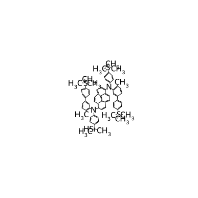 Cc1ccc(-c2ccc(S(C)(C)C)cc2)cc1N(c1ccc([SiH](C)C)cc1)c1ccc2ccc3c(N(c4ccc(S(C)(C)C)cc4)c4cc(-c5ccc(S(C)(C)C)cc5)ccc4C)ccc4ccc1c2c43